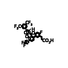 C[C@H]1[C@@H](c2cc(C(F)(F)F)cc(C(F)(F)F)c2)OC(=O)N1Cc1nc(N2CC(F)(F)C2)ccc1-c1cc(CCC(=O)O)c(F)cc1O